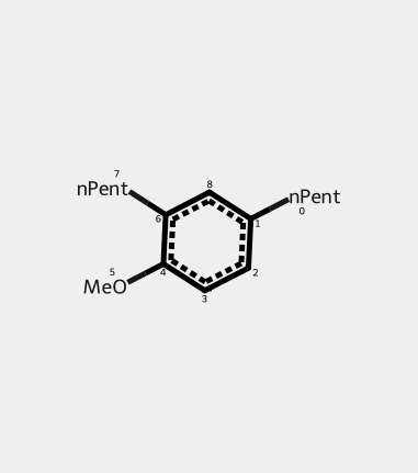 CCCCCc1c[c]c(OC)c(CCCCC)c1